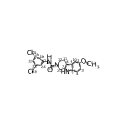 COc1ccc2[nH]c3c(c2c1)CCN(C(=O)Nc1cc(Cl)cc(Cl)c1)C3